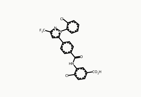 O=C(O)c1ccc(Cl)c(NC(=O)c2ccc(-c3cc(C(F)(F)F)nn3-c3ccccc3Cl)cc2)c1